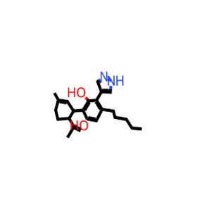 C=C(C)C1CCC(C)=CC1c1c(O)cc(CCCCC)c(-c2cn[nH]c2)c1O